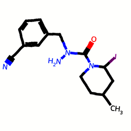 CC1CCN(C(=O)N(N)Cc2cccc(C#N)c2)C(I)C1